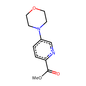 COC(=O)c1ccc(N2CCOCC2)cn1